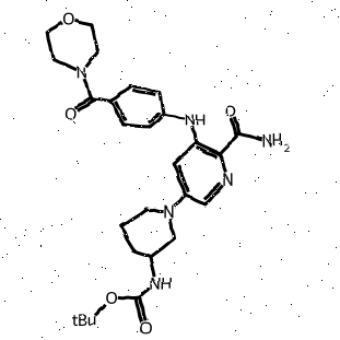 CC(C)(C)OC(=O)NC1CCCN(c2cnc(C(N)=O)c(Nc3ccc(C(=O)N4CCOCC4)cc3)c2)C1